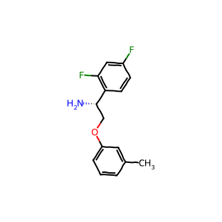 Cc1cccc(OC[C@H](N)c2ccc(F)cc2F)c1